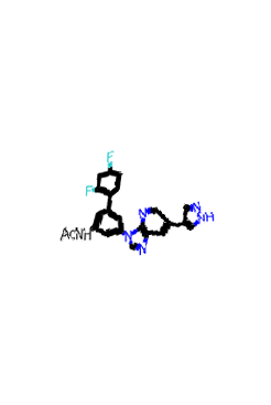 CC(=O)Nc1cc(-c2ccc(F)cc2F)cc(-n2cnc3cc(-c4cn[nH]c4)cnc32)c1